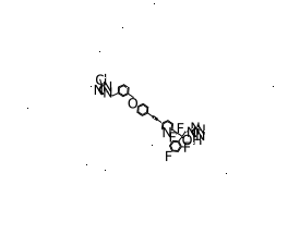 OC(Cn1cnnn1)(c1ccc(F)cc1F)C(F)(F)c1ccc(C#Cc2ccc(OCc3cccc(Cn4cnc(Cl)n4)c3)cc2)cn1